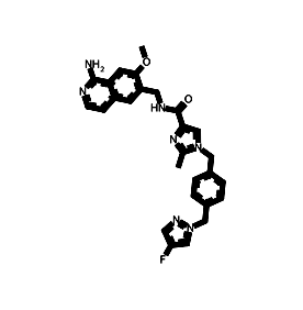 COc1cc2c(N)nccc2cc1CNC(=O)c1cn(Cc2ccc(Cn3cc(F)cn3)cc2)c(C)n1